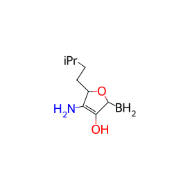 BC1OC(CCC(C)C)C(N)=C1O